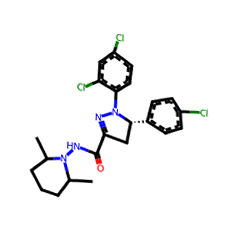 CC1CCCC(C)N1NC(=O)C1=NN(c2ccc(Cl)cc2Cl)[C@H](c2ccc(Cl)cc2)C1